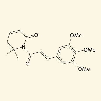 COc1cc(/C=C/C(=O)N2C(=O)C=CCC2(C)C)cc(OC)c1OC